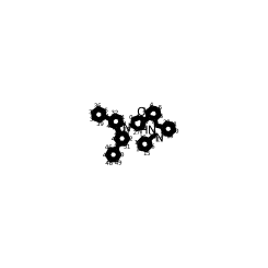 C1=c2oc3cccc(C4NC(c5ccccc5)=Nc5ccccc54)c3c2=CCC1n1c2ccc(-c3ccccc3)cc2c2cc(-c3ccccc3)ccc21